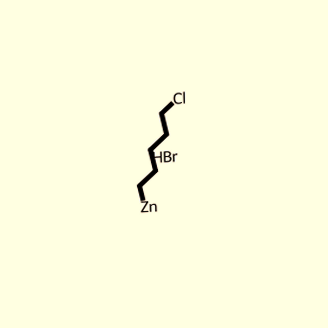 Br.ClCCCC[CH2][Zn]